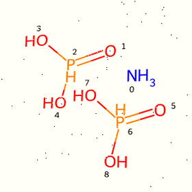 N.O=[PH](O)O.O=[PH](O)O